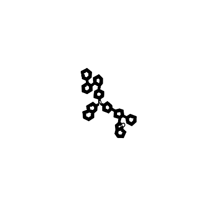 c1ccc(-c2ccc(-c3ccc(N(c4ccc(-c5ccccc5-c5ccccc5-c5ccccc5)cc4)c4ccc5ccccc5c4)cc3)cc2-c2cc3ccccc3o2)cc1